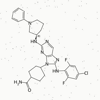 NC(=O)C1CCC(n2c(Nc3c(F)cc(Cl)cc3F)nc3cnc(N[C@@H]4CCCN(c5ccccc5)C4)nc32)CC1